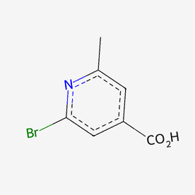 Cc1cc(C(=O)O)cc(Br)n1